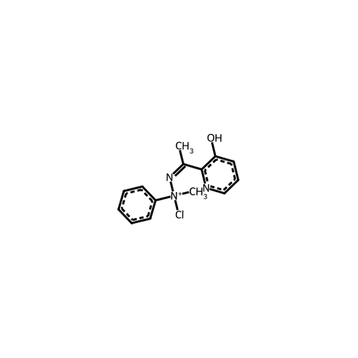 CC(=N[N+](C)(Cl)c1ccccc1)c1ncccc1O